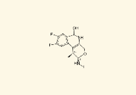 C[C@H]1C2=C(CO[C@H]1NI)NC(O)c1cc(F)c(F)cc12